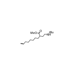 C=CCCCCCCC(CCNC(C)(C)C)C(=O)OC